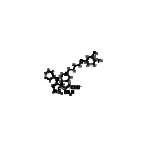 CCSC(=Nc1ccccc1)[N+](C)(/C(=C/C(=O)[O-])C(=O)O)C1CCN(CCCCOc2ccc(F)c(F)c2)CC1